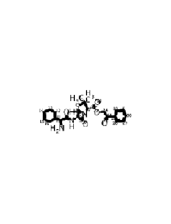 CC1(C)S[C@@H]2[C@H](NC(=O)C(N)C3=CCC=CC3)C(=O)N2[C@H]1C(=O)OCC(=O)c1ccccc1